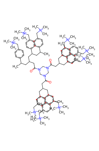 CCC(CC(CC(=O)N1CN(C(=O)CC(CC(C)c2ccc(C[N+](C)(C)C)cc2)CC(CC(C)c2ccc(C[N+](C)(C)C)cc2)c2ccc(C[N+](C)(C)C)cc2)CN(C(=O)CC(CC(CC)c2ccc(C[N+](C)(C)C)cc2)CC(CC(C)c2ccc(C[N+](C)(C)C)cc2)c2ccc(C[N+](C)(C)C)cc2)C1)CC(CC(C)c1ccc(C[N+](C)(C)C)cc1)c1ccc(C[N+](C)(C)C)cc1)c1ccc(C[N+](C)(C)C)cc1